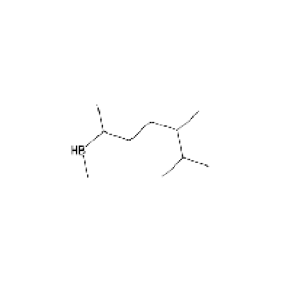 CBC(C)CCC(C)C(C)C